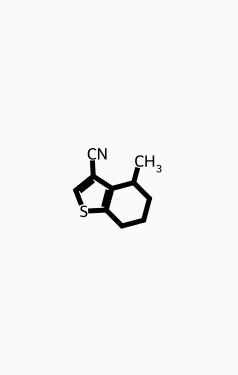 CC1CCCc2scc(C#N)c21